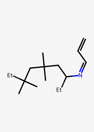 C=C/C=N\C(CC)CC(C)(C)CC(C)(C)CC